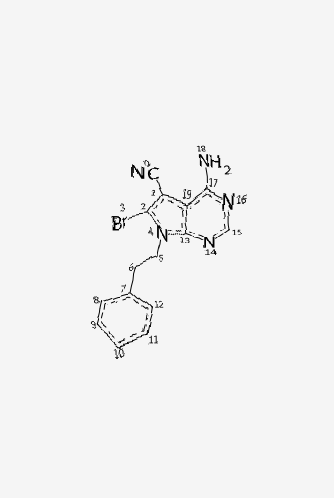 N#Cc1c(Br)n(CCc2ccccc2)c2ncnc(N)c12